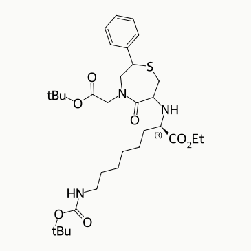 CCOC(=O)[C@@H](CCCCCCNC(=O)OC(C)(C)C)NC1CSC(c2ccccc2)CN(CC(=O)OC(C)(C)C)C1=O